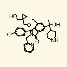 CC(O)(c1cc(F)c2c(c1)C(=O)N(Cc1ccccn1)[C@@]2(OCC1(CO)CC1)c1ccc(Cl)cc1)C1CCNCC1